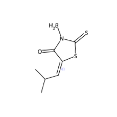 BN1C(=O)/C(=C\C(C)C)SC1=S